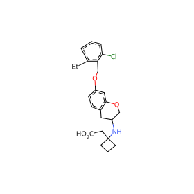 CCc1cccc(Cl)c1COc1ccc2c(c1)OCC(NC1(CC(=O)O)CCC1)C2